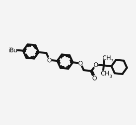 CCC(C)c1ccc(COc2ccc(OCC(=O)OC(C)(C)C3CCCCC3)cc2)cc1